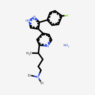 CCN(CC)CCCC(C)c1cc(-c2c[nH]nc2-c2ccc(F)cc2)ccn1.N